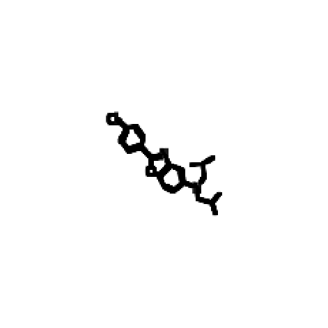 CC(C)CN(CC(C)C)c1ccc2oc(-c3ccc(Cl)cc3)nc2c1